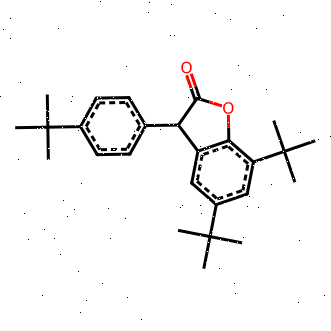 CC(C)(C)c1ccc(C2C(=O)Oc3c2cc(C(C)(C)C)cc3C(C)(C)C)cc1